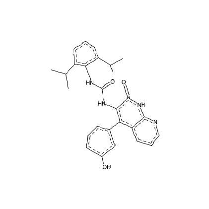 CC(C)c1cccc(C(C)C)c1NC(=O)Nc1c(-c2cccc(O)c2)c2cccnc2[nH]c1=O